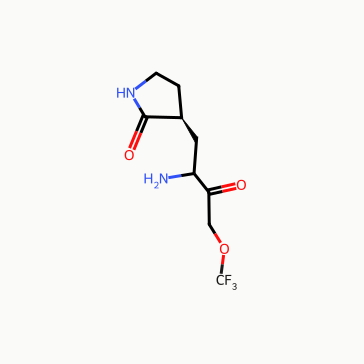 NC(C[C@@H]1CCNC1=O)C(=O)COC(F)(F)F